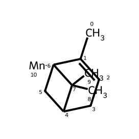 CC1=CCC2CC1C2(C)C.[Mn]